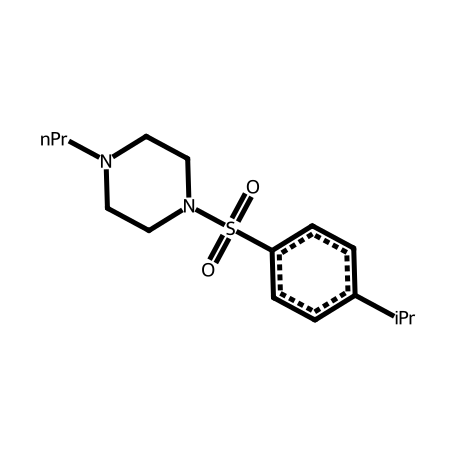 CCCN1CCN(S(=O)(=O)c2ccc(C(C)C)cc2)CC1